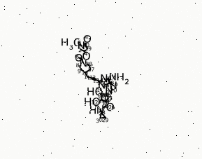 CN1CC(OC(=O)N2CCC(CC#Cc3nc(N)c4ncn([C@@H]5O[C@H](C(=O)NC6CC6)C(O)[C@@H]5O)c4n3)CC2)CC1=O